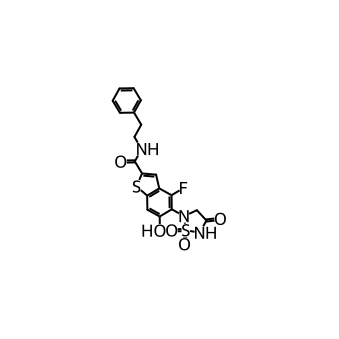 O=C1CN(c2c(O)cc3sc(C(=O)NCCc4ccccc4)cc3c2F)S(=O)(=O)N1